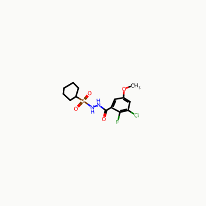 COc1cc(Cl)c(F)c(C(=O)NNS(=O)(=O)C2CCCCC2)c1